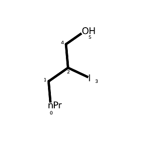 CCCCC(I)CO